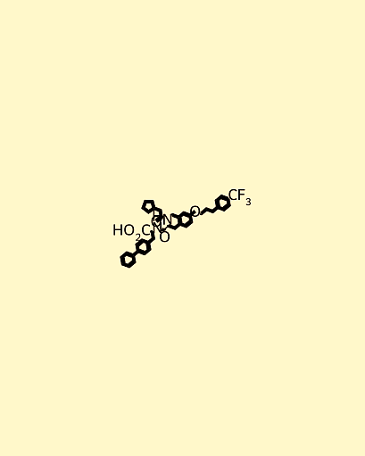 O=C(O)[C@H](Cc1ccc(-c2ccccc2)cc1)NC(=O)[C@@H]1Cc2ccc(OCCCc3ccc(C(F)(F)F)cc3)cc2CN1C(=O)CC1CCCC1